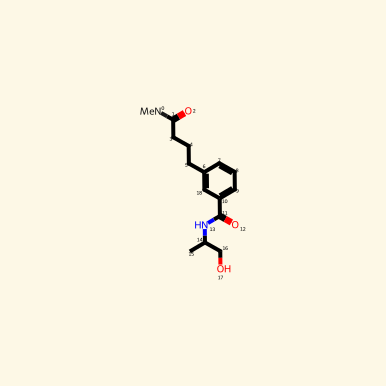 CNC(=O)CCCc1cccc(C(=O)NC(C)CO)c1